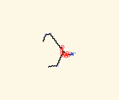 CCCCC/C=C\C/C=C\CCCCCCCCCCCC(=O)OC[C@H](COP(=O)([O-])OCC[N+](C)(C)C)OC(=O)CCCCCCC/C=C\CCCCCC